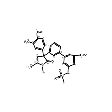 COc1cc(OS(C)(=O)=O)cc(-c2cccc(C3(c4ccc(OC)c(C(F)(F)F)c4)N=C(N)N(C)C3=O)c2)c1